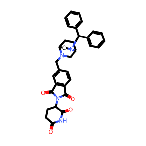 O=C1CCC(N2C(=O)c3ccc(CN4CC5CCC4CN5C(c4ccccc4)c4ccccc4)cc3C2=O)C(=O)N1